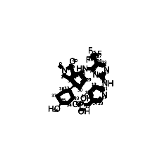 CN1Cc2c(c(Nc3nc(Nc4ccc(CP(=O)(O)O)cn4)ncc3C(F)(F)F)ccc2[C@H]2CC[C@H](O)CC2)C1=O